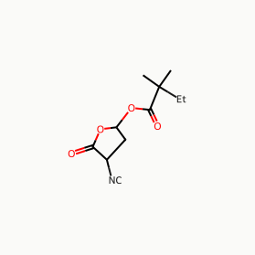 [C-]#[N+]C1CC(OC(=O)C(C)(C)CC)OC1=O